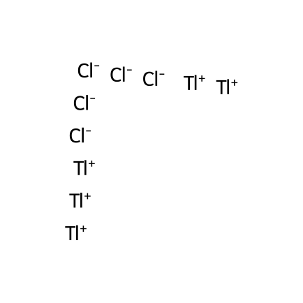 [Cl-].[Cl-].[Cl-].[Cl-].[Cl-].[Tl+].[Tl+].[Tl+].[Tl+].[Tl+]